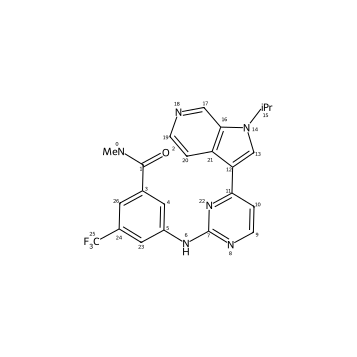 CNC(=O)c1cc(Nc2nccc(-c3cn(C(C)C)c4cnccc34)n2)cc(C(F)(F)F)c1